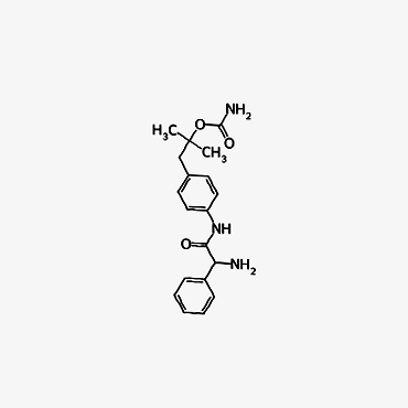 CC(C)(Cc1ccc(NC(=O)C(N)c2ccccc2)cc1)OC(N)=O